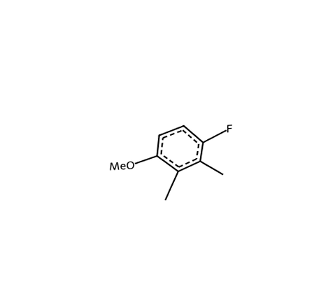 COc1ccc(F)c(C)c1C